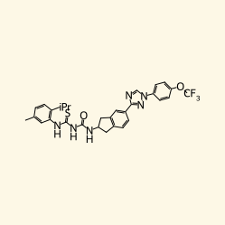 Cc1ccc(C(C)C)c(NC(=S)NC(=O)NC2Cc3ccc(-c4ncn(-c5ccc(OC(F)(F)F)cc5)n4)cc3C2)c1